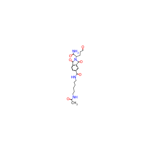 CC(=O)NCCCCCCNC(=O)c1ccc2c(c1)C(=O)N(C(CCC=O)C(N)=O)C2=O